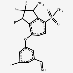 CS(=O)(=O)c1ccc(Oc2cc(F)cc(C=N)c2)c2c1C(N)C(F)(F)C2F